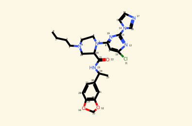 CCCCN1CCN(c2cc(Cl)nc(-n3ccnc3)n2)C(C(=O)NC(C)c2ccc3c(c2)OCO3)C1